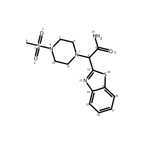 CS(=O)(=O)N1CCN(C(C(N)=O)c2nc3ccccc3s2)CC1